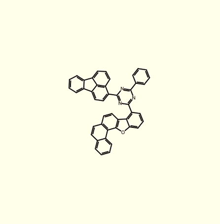 c1ccc(-c2nc(-c3ccc4c5c(cccc35)-c3ccccc3-4)nc(-c3cccc4oc5c(ccc6ccc7ccccc7c65)c34)n2)cc1